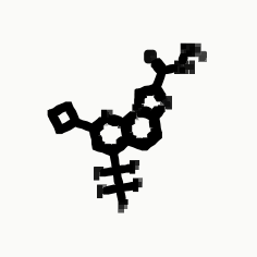 NNC(=O)c1cn2c(ccc3c(C(F)(F)C(F)(F)F)cc(C4CCC4)nc32)n1